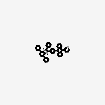 c1ccc(-c2nc3c(-c4ccccc4)ccc(-c4ccccc4)c3nc2-c2ccc(-c3c4ccccc4c(-c4cccnc4)c4ccccc34)cc2)cc1